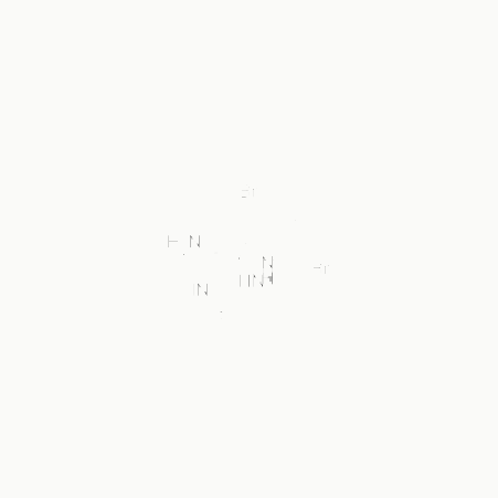 Brc1c[nH]c(Br)c1.NC1CNCCN1